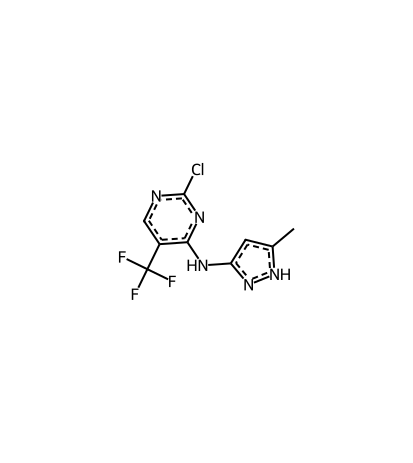 Cc1cc(Nc2nc(Cl)ncc2C(F)(F)F)n[nH]1